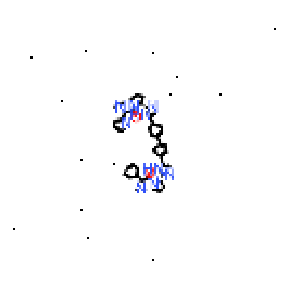 CN(C)C(C(=O)N1CCC[C@H]1c1ncc(-c2ccc(-c3ccc(-c4cnc([C@@H]5CCCN5C(=O)[C@@H](c5ccccc5)N(C)C)[nH]4)cc3)cc2)[nH]1)c1ccccn1